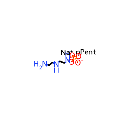 CCCCCOP(=O)([O-])ONCCNCCN.[Na+]